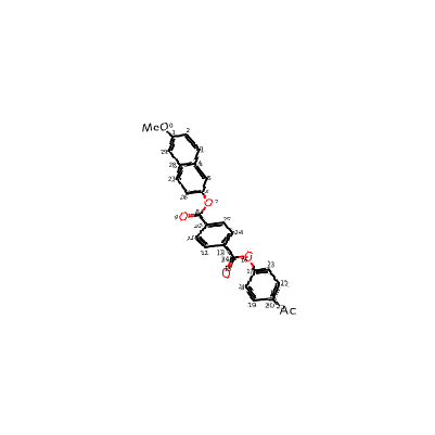 COc1ccc2cc(OC(=O)c3ccc(C(=O)Oc4ccc(C(C)=O)cc4)cc3)ccc2c1